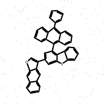 c1ccc(-c2c3ccccc3c(-c3cc(-c4coc5cc6ccccc6cc45)cc4sc5ccccc5c34)c3ccccc23)cc1